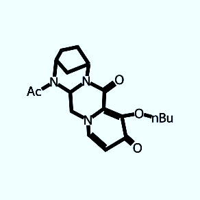 CCCCOc1c2n(ccc1=O)CC1N(C(C)=O)C3CCC(C3)N1C2=O